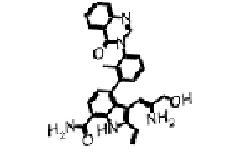 C=Cc1[nH]c2c(C(N)=O)ccc(-c3cccc(-n4cnc5ccccc5c4=O)c3C)c2c1/C=C(\N)CO